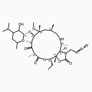 CC[C@H]1OC(=O)[C@H](C)C(=O)[C@H](C)[C@@H](O[C@@H]2OC(C)CC(N(C)C)C2O)[C@](C)(OC)C[C@@H](C)CN[C@H](C)[C@H]2N(CN=[N+]=[N-])C(=O)O[C@]12C